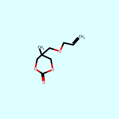 C=CCOCC1(C)COC(=O)OC1